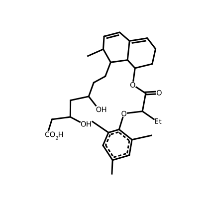 CCC(Oc1c(C)cc(C)cc1C)C(=O)OC1CCC=C2C=CC(C)C(CCC(O)CC(O)CC(=O)O)C21